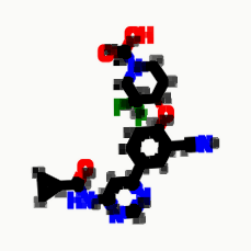 N#Cc1cc(-c2cc(NC(=O)C3CC3)ncn2)ccc1O[C@H]1CCN(C(=O)O)CC1(F)F